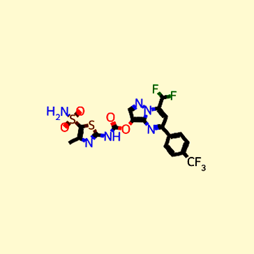 Cc1nc(NC(=O)Oc2cnn3c(C(F)F)cc(-c4ccc(C(F)(F)F)cc4)nc23)sc1S(N)(=O)=O